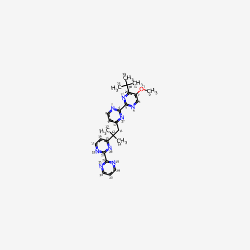 COc1cnc(-c2nccc(CC(C)(C)c3ccnc(-c4ncccn4)n3)n2)nc1C(C)(C)C